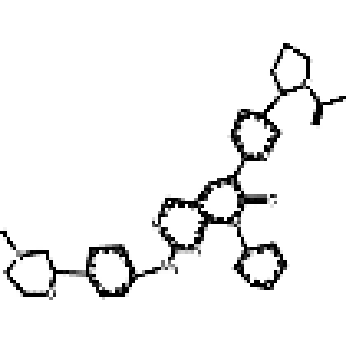 C=C(C)N1CCCC1c1ccc(-c2cc3cnc(Nc4ccc(C5CN(C)CCO5)cc4)nc3n(-c3ccccc3)c2=O)nc1